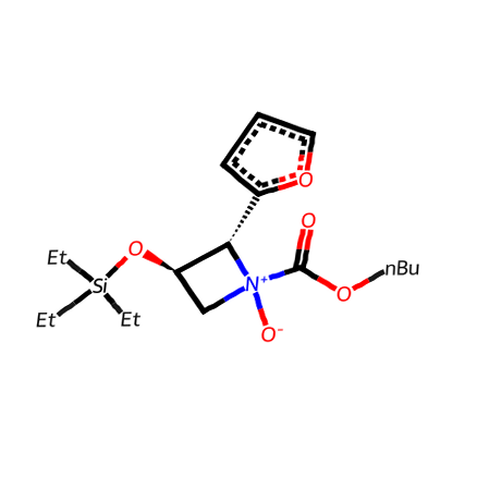 CCCCOC(=O)[N+]1([O-])C[C@@H](O[Si](CC)(CC)CC)[C@@H]1c1ccco1